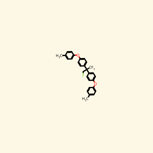 Cc1ccc(Oc2ccc(C(CF)(c3ccc(Oc4ccc(C)cc4)cc3)C(F)(F)F)cc2)cc1